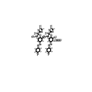 CC(C)(C)C(=O)[C]([Zn+2])(Oc1ccc(N=Nc2ccc(F)cc2)cc1Cl)c1nc[nH]n1.CC(C)(C)C(=O)[C]([Zn+2])(Oc1ccc(N=Nc2ccc(F)cc2)cc1Cl)c1nc[nH]n1.[Cl-].[Cl-].[Cl-].[Cl-]